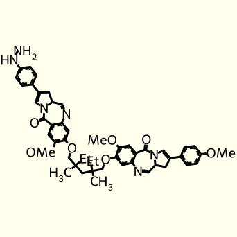 CCC(C)(COc1cc2c(cc1OC)C(=O)N1C=C(c3ccc(NN)cc3)CC1C=N2)CC(C)(CC)COc1cc2c(cc1OC)C(=O)N1C=C(c3ccc(OC)cc3)CC1C=N2